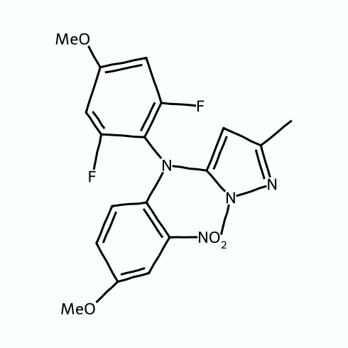 COc1cc(F)c(N(c2ccc(OC)cc2[N+](=O)[O-])c2cc(C)nn2C)c(F)c1